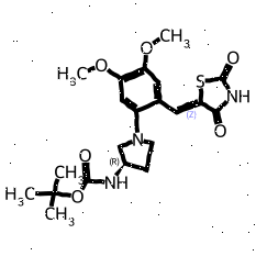 COc1cc(/C=C2\SC(=O)NC2=O)c(N2CC[C@@H](NC(=O)OC(C)(C)C)C2)cc1OC